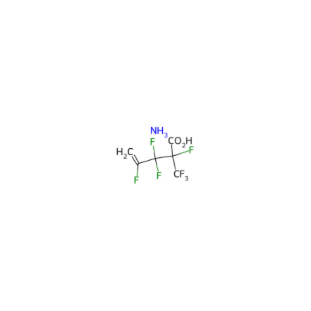 C=C(F)C(F)(F)C(F)(C(=O)O)C(F)(F)F.N